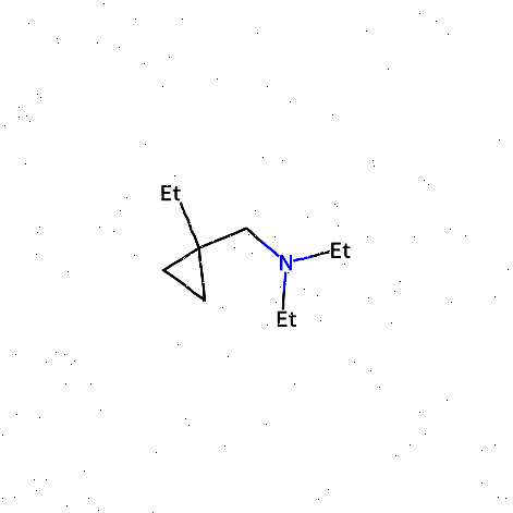 CCN(CC)CC1(CC)CC1